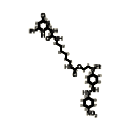 CCN(CCOC(=O)NCCCCCCNC(=O)Nc1nc(=O)cc(C(C)C)[nH]1)c1ccc(NNc2ccc([N+](=O)[O-])cc2)cc1